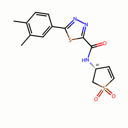 Cc1ccc(-c2nnc(C(=O)N[C@@H]3C=CS(=O)(=O)C3)s2)cc1C